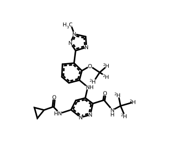 [2H]C([2H])([2H])NC(=O)c1nnc(NC(=O)C2CC2)cc1Nc1cccc(-c2ncn(C)n2)c1OC([2H])([2H])[2H]